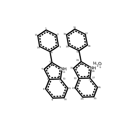 O.c1ccc(-c2cc3ccccc3[nH]2)cc1.c1ccc(-c2cc3ccccc3[nH]2)cc1